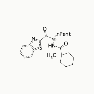 CCCCC[C@H](NC(=O)C1(C)CCCCC1)C(=O)c1nc2ccccc2s1